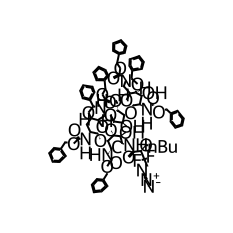 CCCCO[C@H](C(=O)N[C@@H]1C[C@H](NC(=O)OCc2ccccc2)[C@@H](O[C@H]2O[C@@H]3CN(C(=O)OCc4ccccc4)C(c4ccccc4)O[C@H]3C[C@H]2NC(=O)OCc2ccccc2)[C@H](O[C@@H]2O[C@H](CO)[C@@H](O[C@H]3O[C@H]4CN(C(=O)OCc5ccccc5)C(c5ccccc5)O[C@H]4[C@H](O)[C@H]3NC(=O)OCc3ccccc3)[C@H]2O)[C@H]1O)C(F)(F)CN=[N+]=[N-]